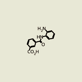 Nc1ccccc1NC(=O)c1cccc(C(=O)O)c1